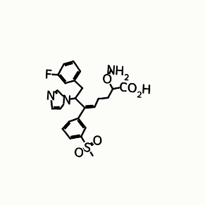 CS(=O)(=O)c1cccc(C(=CCCC(ON)C(=O)O)C(Cc2cccc(F)c2)n2ccnc2)c1